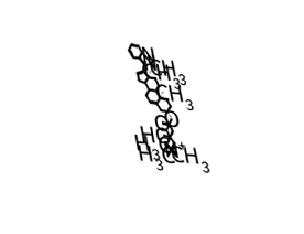 Cn1nc2ccccc2c1C1=CCC2C3CC=C4C[C@@H](OC(=O)CC(O)C[N+](C)(C)C)CC[C@]4(C)C3CC[C@]12C